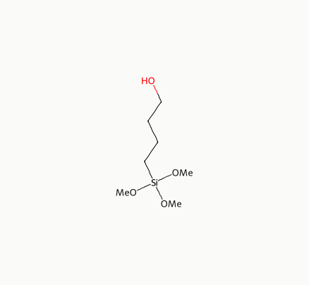 CO[Si](CCCCO)(OC)OC